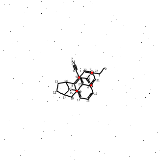 CCOC(=O)/C(C#N)=C1\CCC2CCC1N2c1cccc2ccccc12